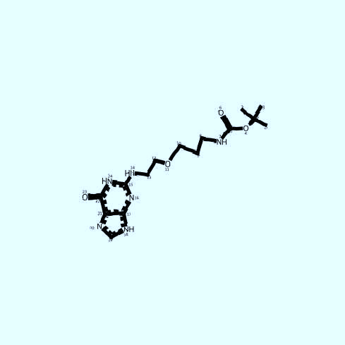 CC(C)(C)OC(=O)NCCCOCCNc1nc2[nH]cnc2c(=O)[nH]1